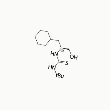 CC(C)(C)NC(=S)N[C@H](CO)CC1CCCCC1